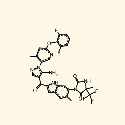 Cc1cc2cc(C(=O)c3cnn(-c4cnc(Oc5c(F)cccc5F)cc4C)c3N)[nH]c2cc1N1C(=O)NC(C)(C(F)(F)F)C1=O